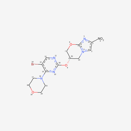 O=[N+]([O-])c1cn2c(n1)OC[C@@H](Oc1ncc(Br)c(N3CCOCC3)n1)C2